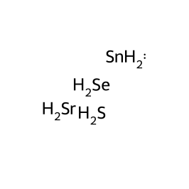 S.[SeH2].[SnH2].[SrH2]